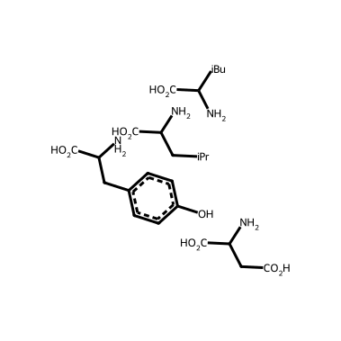 CC(C)CC(N)C(=O)O.CCC(C)C(N)C(=O)O.NC(CC(=O)O)C(=O)O.NC(Cc1ccc(O)cc1)C(=O)O